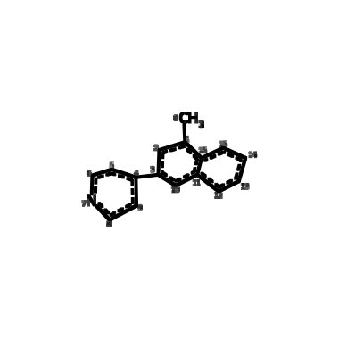 Cc1cc(-c2ccncc2)cc2ccccc12